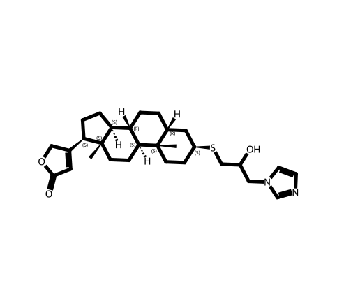 C[C@]12CC[C@H](SCC(O)Cn3ccnc3)C[C@H]1CC[C@@H]1[C@@H]2CC[C@]2(C)[C@@H](C3=CC(=O)OC3)CC[C@@H]12